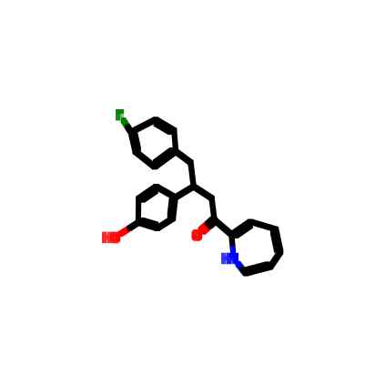 O=C(CC(Cc1ccc(F)cc1)c1ccc(O)cc1)C1=CC=CC=CN1